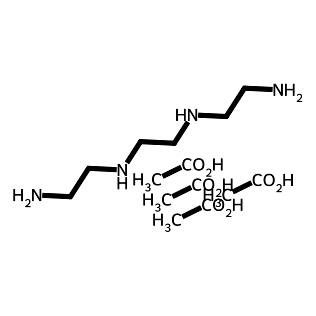 CC(=O)O.CC(=O)O.CC(=O)O.CC(=O)O.NCCNCCNCCN